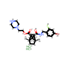 Cl.Cl.O=C(OCCN1CCNCC1)[C@H]1[C@H](C(=O)NCc2ccc(Br)cc2F)[C@@H]2CC[C@H]1C21CC1